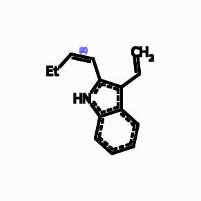 C=Cc1c(/C=C\CC)[nH]c2ccccc12